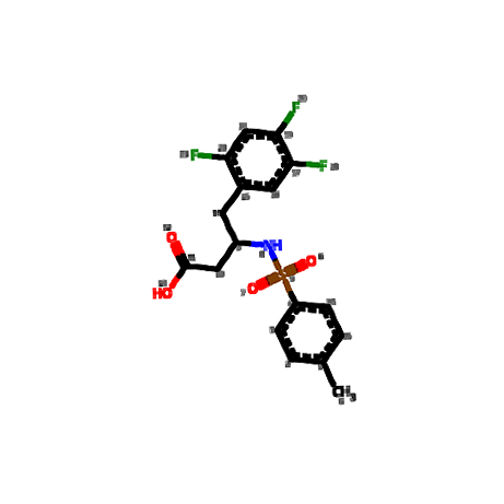 Cc1ccc(S(=O)(=O)NC(CC(=O)O)Cc2cc(F)c(F)cc2F)cc1